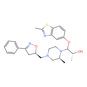 Cc1nc2cc(OC([C@@H](C)O)N3CCN(C[C@H]4CC(c5ccccc5)=NO4)C[C@@H]3C)ccc2s1